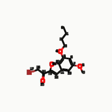 CCCCOc1cc(OC)cc2cc(C(=O)CBr)oc12